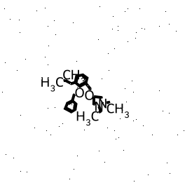 CCN1CC(OCc2cccc(CC(C)C)c2OCc2ccccc2)CN1CC